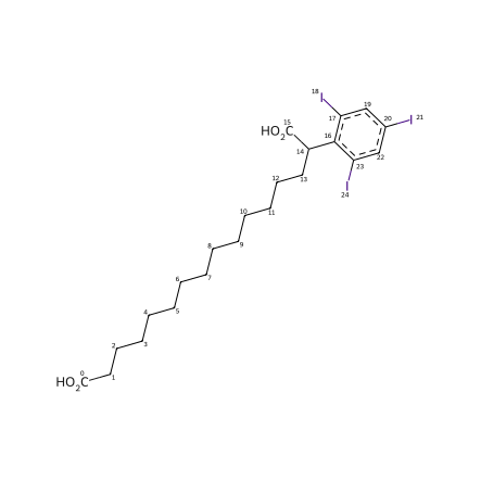 O=C(O)CCCCCCCCCCCCCC(C(=O)O)c1c(I)cc(I)cc1I